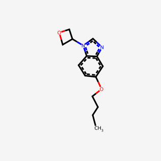 CCCCOc1ccc2c(c1)ncn2C1COC1